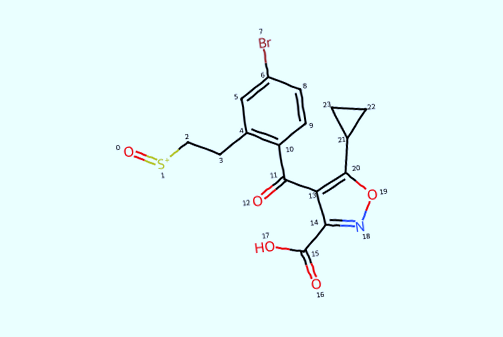 O=[S+]CCc1cc(Br)ccc1C(=O)c1c(C(=O)O)noc1C1CC1